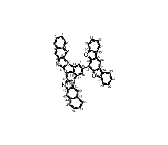 c1ccc2cc3c(cc2c1)nc1n3c2cc(-c3c4oc5ccccc5c4cc4c3oc3ccccc34)cc3c2n1c1nc2cc4ccccc4cc2n31